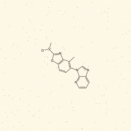 Cc1c(-n2cnc3cccnc32)ccc2oc([S+](C)[O-])nc12